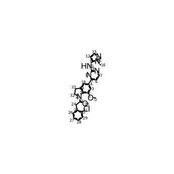 COc1cc(-c2ccnc(Nc3ccnn3C)n2)cc2c1N(C(=O)Cc1ccccc1Cl)CC2